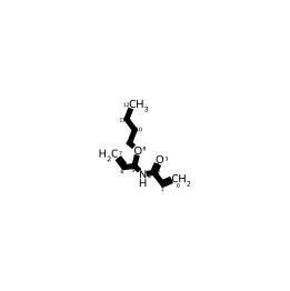 C=CC(=O)NC(C=C)OCCCC